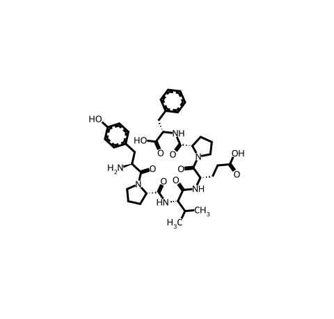 CC(C)[C@H](NC(=O)[C@@H]1CCCN1C(=O)[C@@H](N)Cc1ccc(O)cc1)C(=O)N[C@@H](CCC(=O)O)C(=O)N1CCC[C@H]1C(=O)N[C@@H](Cc1ccccc1)C(=O)O